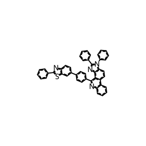 c1ccc(-c2nc3ccc(-c4ccc(-c5nc6ccccc6c6ccc7c(nc(-c8ccccc8)n7-c7ccccc7)c56)cc4)cc3s2)cc1